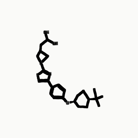 CC(C)(C)[C@H]1CC[C@H](Oc2ccc(-c3csc(N4CC(CC(O)O)C4)n3)cc2)CC1